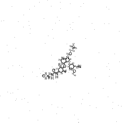 CCOc1ncc(-c2cn(COCC[Si](C)(C)C)c3nccc(Oc4c(F)cc(NC(=O)NCC5(F)COC5)cc4F)c23)cc1C#N